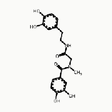 CN(CC(=O)NCCc1ccc(O)c(O)c1)C(=O)c1ccc(O)c(O)c1